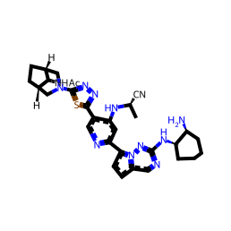 CC(=O)NC1[C@@H]2CC[C@H]1CN(c1nnc(-c3cnc(-c4ccc5cnc(N[C@@H]6CCCC[C@@H]6N)nn45)cc3N[C@H](C)C#N)s1)C2